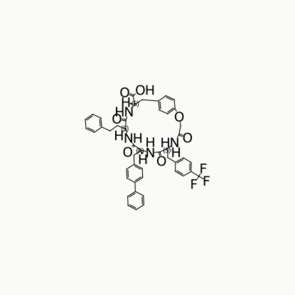 O=C1COc2ccc(cc2)C[C@@H](C(=O)O)NC(=O)[C@H](CCc2ccccc2)NC(=O)[C@@H](Cc2ccc(-c3ccccc3)cc2)NC(=O)[C@H](Cc2ccc(C(F)(F)F)cc2)N1